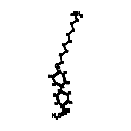 BCCCCCCCCCOc1ccc(-c2ccc(NC)cc2)cc1